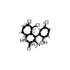 Nc1c(-c2cc(Cl)ccc2O)c2c(Cl)c(Cl)ccc2[nH]c1=O